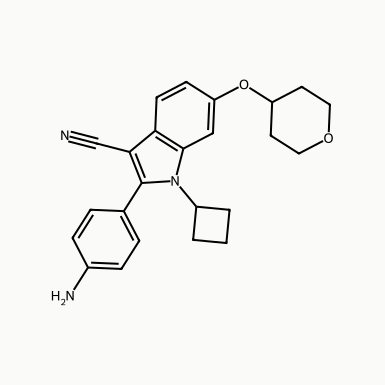 N#Cc1c(-c2ccc(N)cc2)n(C2CCC2)c2cc(OC3CCOCC3)ccc12